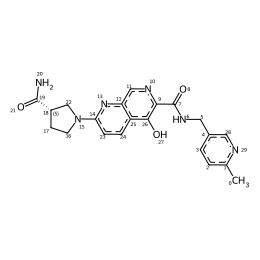 Cc1ccc(CNC(=O)c2ncc3nc(N4CC[C@H](C(N)=O)C4)ccc3c2O)cn1